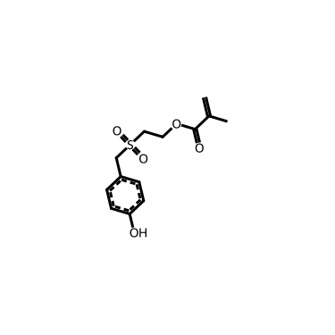 C=C(C)C(=O)OCCS(=O)(=O)Cc1ccc(O)cc1